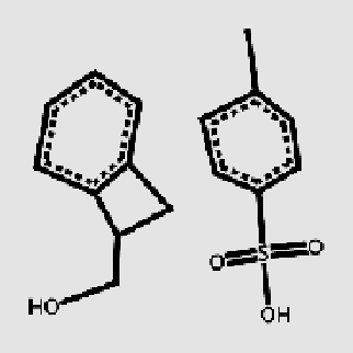 Cc1ccc(S(=O)(=O)O)cc1.OCC1Cc2ccccc21